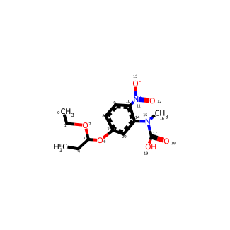 CCOC(CC)Oc1ccc([N+](=O)[O-])c(N(C)C(=O)O)c1